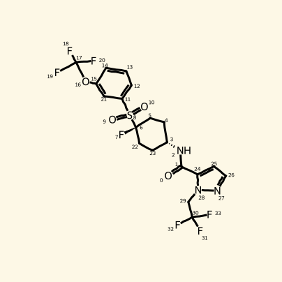 O=C(N[C@H]1CC[C@@](F)(S(=O)(=O)c2cccc(OC(F)(F)F)c2)CC1)c1ccnn1CC(F)(F)F